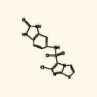 O=c1[nH]c2ccc(NS(=O)(=O)c3c(Cl)nc4sccn34)cc2[nH]1